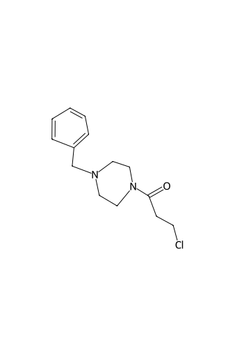 O=C(CCCl)N1CCN(Cc2ccccc2)CC1